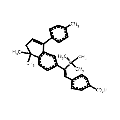 Cc1ccc(C2=CCC(C)(C)c3ccc(C(=Cc4ccc(C(=O)O)cc4)[Si](C)(C)C)cc32)cc1